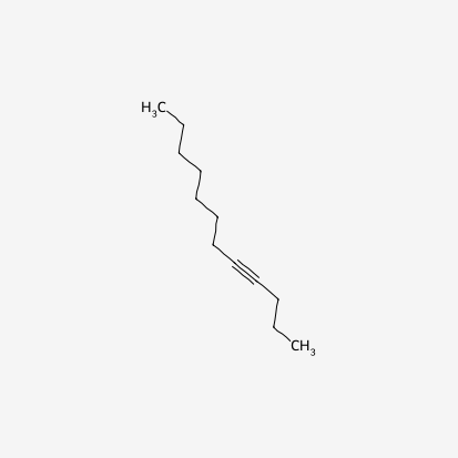 CCCC#CCCCCCCC